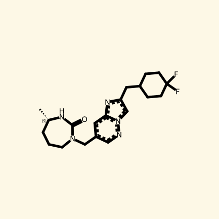 C[C@H]1CCCN(Cc2cnn3cc(CC4CCC(F)(F)CC4)nc3c2)C(=O)N1